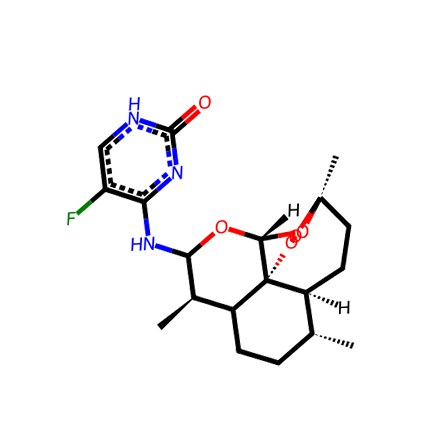 C[C@H]1C(Nc2nc(=O)[nH]cc2F)O[C@@H]2O[C@]3(C)CC[C@H]4[C@H](C)CCC1[C@@]24OO3